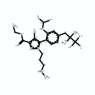 CCOC(=O)c1nn(CCCNC)c(-c2ccc(CC(C)(C)C(F)(F)F)cc2OC(F)F)c1Cl